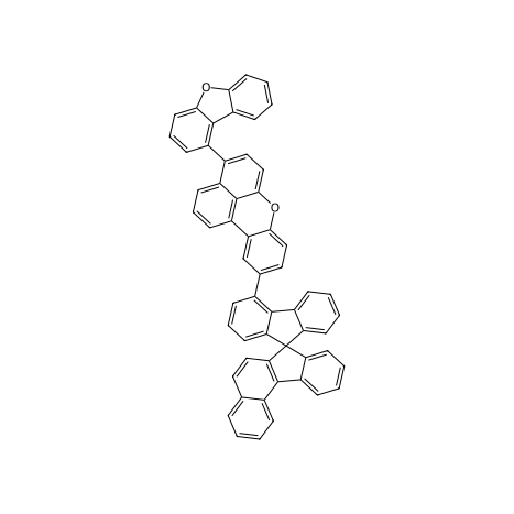 c1ccc2c(c1)-c1c(-c3ccc4c(c3)-c3cccc5c(-c6cccc7oc8ccccc8c67)ccc(c35)O4)cccc1C21c2ccccc2-c2c1ccc1ccccc21